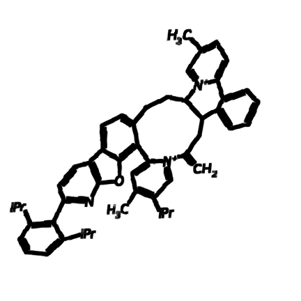 C=C1CC2c3ccccc3-c3ccc(C)c[n+]3C2CCc2ccc3c(oc4nc(-c5c(C(C)C)cccc5C(C)C)ccc43)c2-c2cc(C)c(C(C)C)c[n+]21